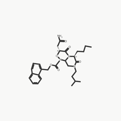 CCCC[C@H]1C(=O)N(CCC(C)C)CC2N(C(=O)OCc3cccc4ccccc34)O[C@H](CC(N)=O)C(=O)N21